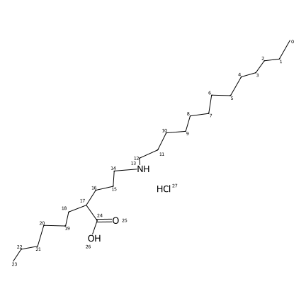 CCCCCCCCCCCCCNCCCC(CCCCCC)C(=O)O.Cl